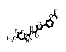 CC(Cc1nsc(NC(=O)c2coc(-c3cccc(OC(F)F)c3)c2)n1)=C(F)F